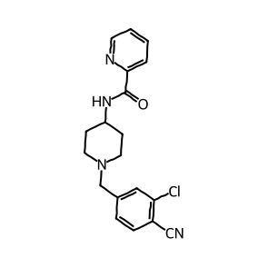 N#Cc1ccc(CN2CCC(NC(=O)c3ccccn3)CC2)cc1Cl